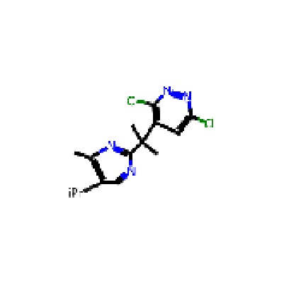 Cc1nc(C(C)(C)c2cc(Cl)nnc2Cl)ncc1C(C)C